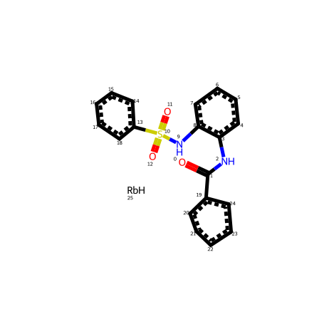 O=C(Nc1ccccc1NS(=O)(=O)c1ccccc1)c1ccccc1.[RbH]